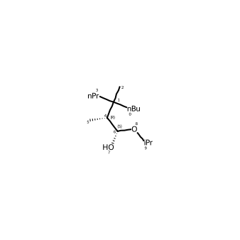 CCCCC(C)(CCC)[C@@H](C)[C@@H](O)OC(C)C